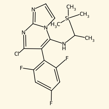 CC(Nc1c(-c2c(F)cc(F)cc2F)c(Cl)nc2nccn12)[Si](C)(C)C